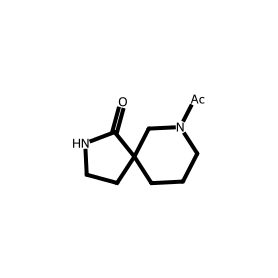 CC(=O)N1CCCC2(CCNC2=O)C1